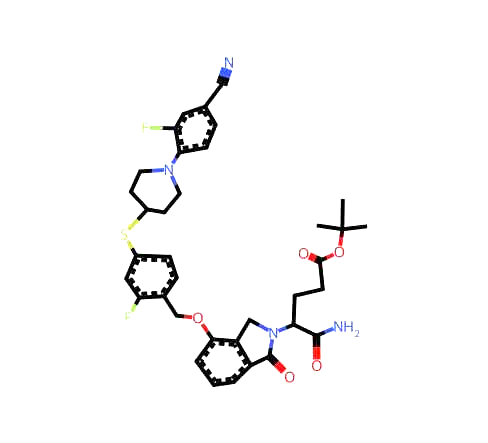 CC(C)(C)OC(=O)CCC(C(N)=O)N1Cc2c(OCc3ccc(SC4CCN(c5ccc(C#N)cc5F)CC4)cc3F)cccc2C1=O